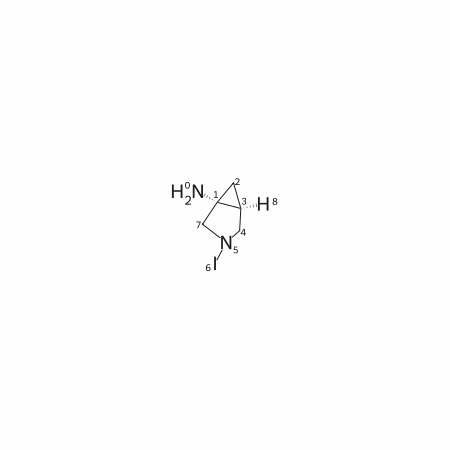 N[C@]12C[C@H]1CN(I)C2